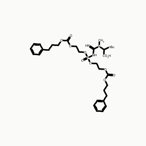 CCCCC(C(=O)O)N(C)C(=N)NP(=O)(OCCOC(=O)OCCCc1ccccc1)OCCOC(=O)OCCCc1ccccc1